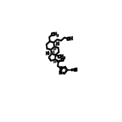 CCC1CCC2[C@H](CCC3(C)[C@@H](C(=O)Cn4cc(C#N)cn4)CC[C@@H]23)C1CCCO